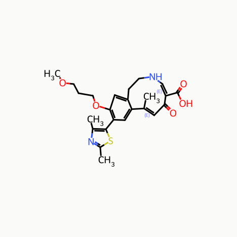 COCCCOc1cc2c(cc1-c1sc(C)nc1C)/C(C)=C/C(=O)/C(C(=O)O)=C\NCC2